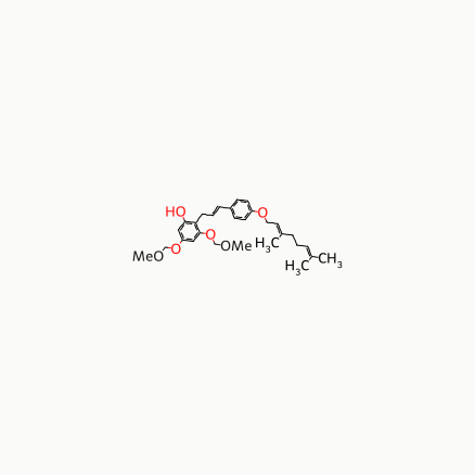 COCOc1cc(O)c(C/C=C/c2ccc(OC/C=C(\C)CCC=C(C)C)cc2)c(OCOC)c1